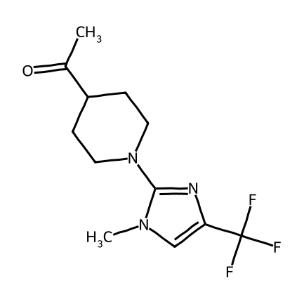 CC(=O)C1CCN(c2nc(C(F)(F)F)cn2C)CC1